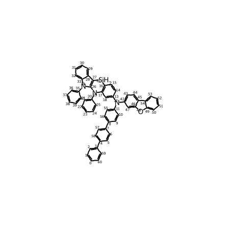 c1ccc(-c2ccc(-c3ccc(N(c4ccc5c(c4)N(c4ccccc4)c4c(c6ccccc6n4-c4ccccc4)[SiH2]5)c4ccc5c(c4)oc4ccccc45)cc3)cc2)cc1